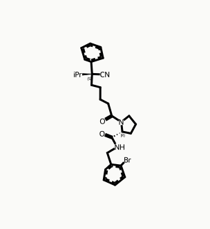 CC(C)[C@@](C#N)(CCCCC(=O)N1CCC[C@@H]1C(=O)NCc1ccccc1Br)c1ccccc1